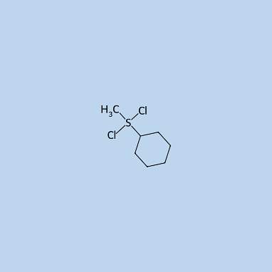 CS(Cl)(Cl)C1CCCCC1